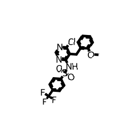 COc1ccccc1Cc1c(Cl)ncnc1NS(=O)(=O)c1ccc(C(F)(F)F)cc1